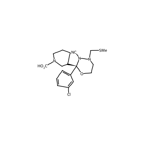 CSCN1CCO[C@@](c2cccc(Cl)c2)(C2CCCN(C(=O)O)C2)N1C#N